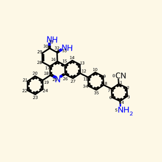 N#Cc1ccc(N)cc1-c1ccc(-c2ccc3c4c(c(-c5ccccc5)nc3c2)C=CC(=N)C4=N)cc1